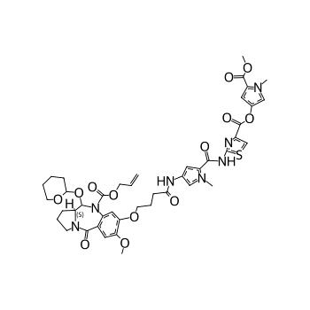 C=CCOC(=O)N1c2cc(OCCCC(=O)Nc3cc(C(=O)Nc4nc(C(=O)Oc5cc(C(=O)OC)n(C)c5)cs4)n(C)c3)c(OC)cc2C(=O)N2CCC[C@H]2C1OC1CCCCO1